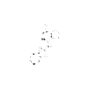 Brc1nnc(Nc2nc3ccccc3s2)c2c1CCC2